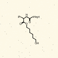 CCCCCCCC(=O)NC(C(=O)OCCCCCCO)C(C)C